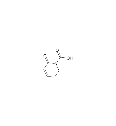 O=C(O)N1CCC=CC1=O